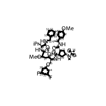 COc1ccc([C@H](C)NC(=O)[C@@H]2C[C@H](N(C)S(C)(=O)=O)C[C@H]2C(=O)N[C@@H](COc2cc(F)cc(F)c2)[C@@H](O)C[C@@H](OC)C(=O)N[C@H](C(=O)NCc2ccccc2)C(C)C)cc1